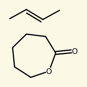 CC=CC.O=C1CCCCCO1